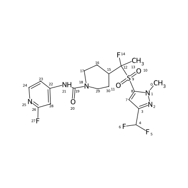 Cn1nc(C(F)F)cc1S(=O)(=O)C(C)(F)C1CCN(C(=O)Nc2ccnc(F)c2)CC1